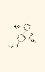 COc1ccc(C2=C(C)C=CC2)c(C(C)=O)c1